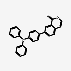 O=c1occc2ccc(-c3ccc(N(c4ccccc4)c4ccccc4)cc3)cc12